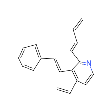 C=CC=Cc1nccc(C=C)c1C=Cc1ccccc1